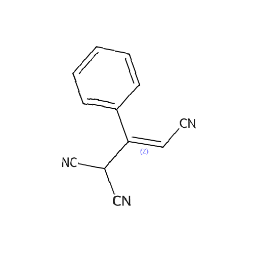 N#C/C=C(\c1ccccc1)C(C#N)C#N